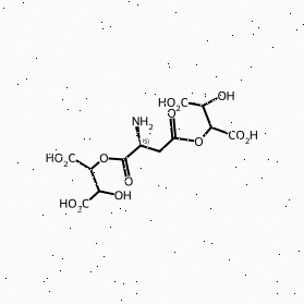 N[C@@H](CC(=O)OC(C(=O)O)C(O)C(=O)O)C(=O)OC(C(=O)O)C(O)C(=O)O